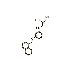 N[C@@H](CS)CNc1cccc(OCc2cccc3ccccc23)c1